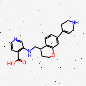 O=C(O)c1ccncc1NCC1CCOc2cc(C3=CCNCC3)ccc21